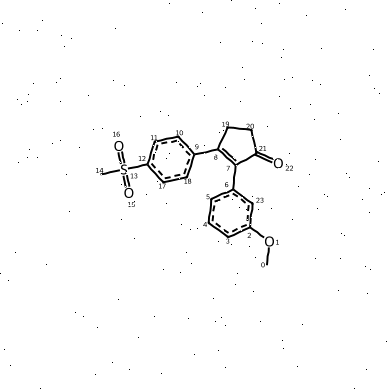 COc1cccc(C2=C(c3ccc(S(C)(=O)=O)cc3)CCC2=O)c1